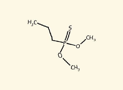 CCCP(=S)(OC)OC